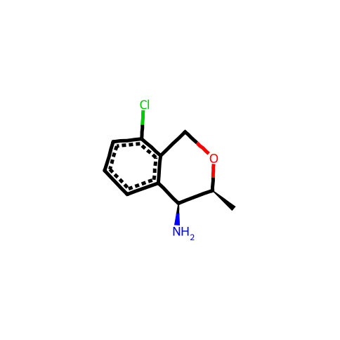 C[C@@H]1OCc2c(Cl)cccc2[C@@H]1N